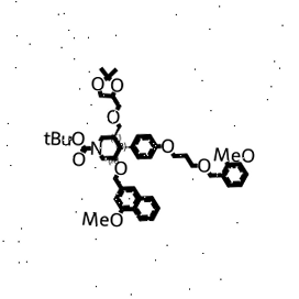 COc1ccccc1COCCCOc1ccc([C@H]2[C@H](COCC3COC(C)(C)O3)CN(C(=O)OC(C)(C)C)C[C@@H]2OCc2cc(OC)c3ccccc3c2)cc1